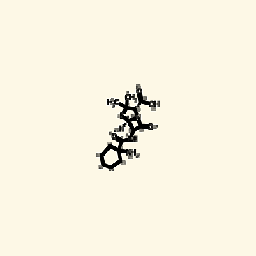 CC1(C)S[C@@H]2C(NC(=O)C3(N)CCCCC3)C(=O)N2[C@H]1C(=O)O